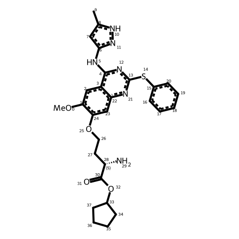 COc1cc2c(Nc3cc(C)[nH]n3)nc(Sc3ccccc3)nc2cc1OCC[C@H](N)C(=O)OC1CCCC1